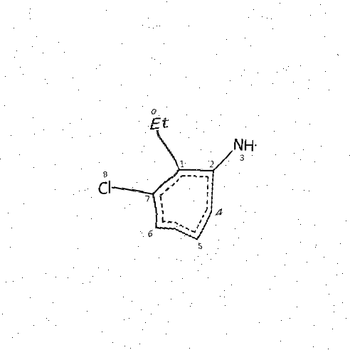 CCc1c([NH])cccc1Cl